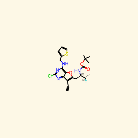 C#Cc1c(C[C@@H](NC(=O)OC(C)(C)C)[C@H](C)F)oc2c(NCc3cccs3)nc(Cl)nc12